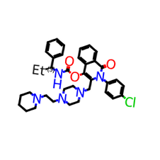 CC[C@H](NC(=O)Oc1c(CN2CCN(CCN3CCCCC3)CC2)n(-c2ccc(Cl)cc2)c(=O)c2ccccc12)c1ccccc1